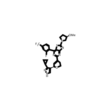 CO[C@@H]1CCN(c2nc3nc(C4=C[C@H](c5c[nH]nc5C5CC5)OCC4)nc(-c4ccc(C(F)(F)F)cc4F)c3s2)C1